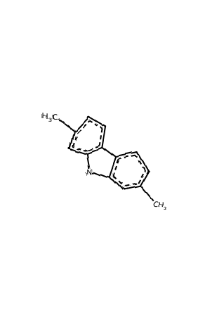 Cc1ccc2c(c1)[N]c1cc(C)ccc1-2